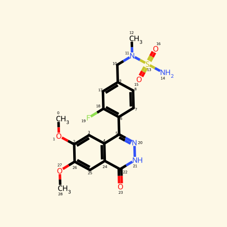 COc1cc2c(-c3ccc(CN(C)S(N)(=O)=O)cc3F)n[nH]c(=O)c2cc1OC